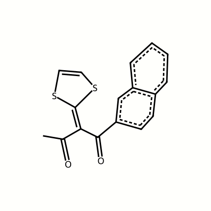 CC(=O)C(C(=O)c1ccc2ccccc2c1)=C1SC=CS1